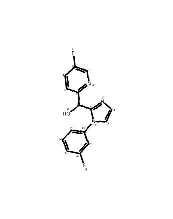 OC(c1ccc(F)cn1)c1nccn1-c1cccc(F)c1